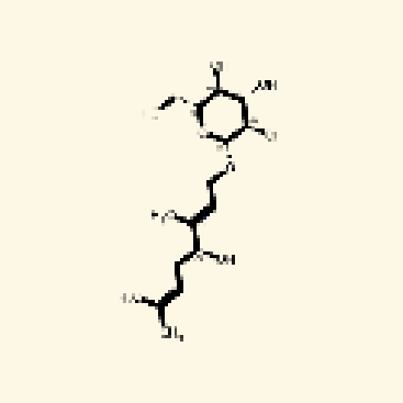 CC(C)=CC[C@H](O)/C(C)=C/CO[C@@H]1O[C@H](CO)[C@@H](O)[C@H](O)[C@H]1O